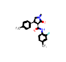 CN1C[C@H](c2ccc(C(F)(F)F)cc2)[C@@H](C(=O)Nc2ccc(C(F)(F)F)cc2F)C1=O